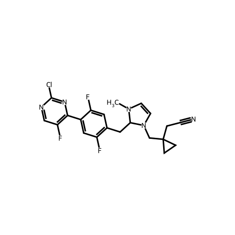 CN1C=CN(CC2(CC#N)CC2)C1Cc1cc(F)c(-c2nc(Cl)ncc2F)cc1F